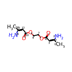 C/C(N)=C/C(=O)OCCOC(=O)/C=C(/C)N